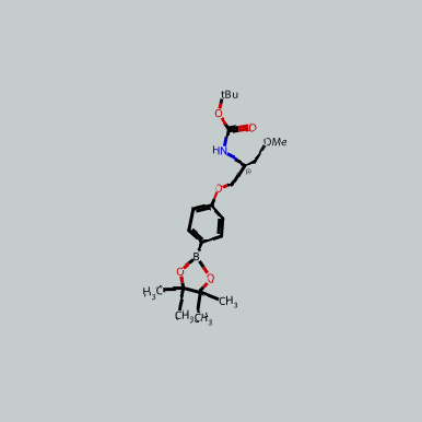 COC[C@@H](COc1ccc(B2OC(C)(C)C(C)(C)O2)cc1)NC(=O)OC(C)(C)C